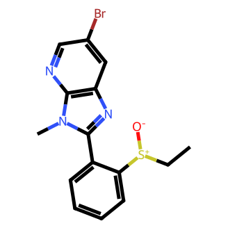 CC[S+]([O-])c1ccccc1-c1nc2cc(Br)cnc2n1C